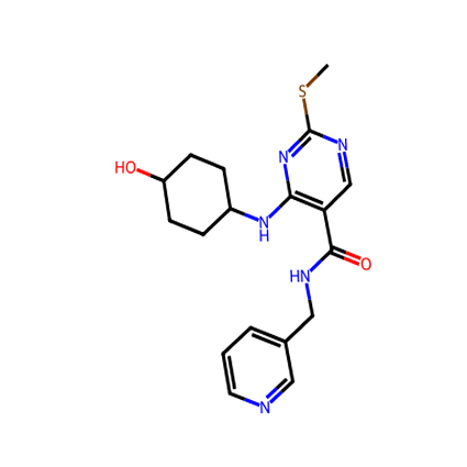 CSc1ncc(C(=O)NCc2cccnc2)c(NC2CCC(O)CC2)n1